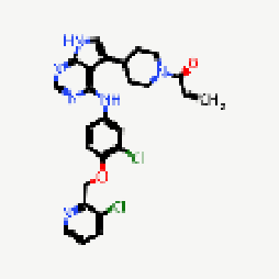 C=CC(=O)N1CCC(c2c[nH]c3ncnc(Nc4ccc(OCc5ncccc5Cl)c(Cl)c4)c23)CC1